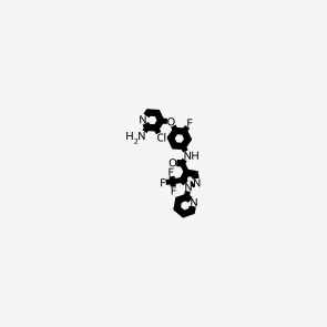 Nc1nccc(Oc2ccc(NC(=O)c3cnn(-c4ccccn4)c3C(F)(F)F)cc2F)c1Cl